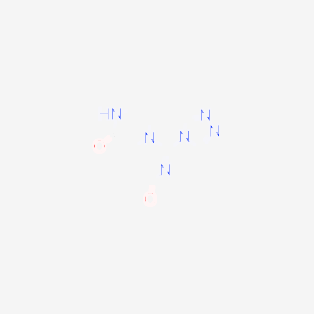 O=C1NCCn2c1cc(=O)nc2-n1cnnc1